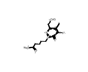 COC(=O)CCCCn1nc(CC=O)c(C)c(C(F)(F)F)c1=O